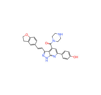 O=C(c1cc(-c2ccc(O)cc2)nc2[nH]nc(/C=C/c3ccc4c(c3)CCO4)c12)N1CCNCC1